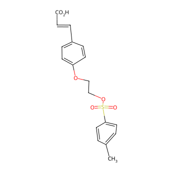 Cc1ccc(S(=O)(=O)OCCOc2ccc(/C=C/C(=O)O)cc2)cc1